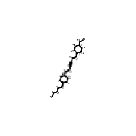 CCCCCc1ccc(C=CC#CC=CC2CCC(CC)CC2)cc1